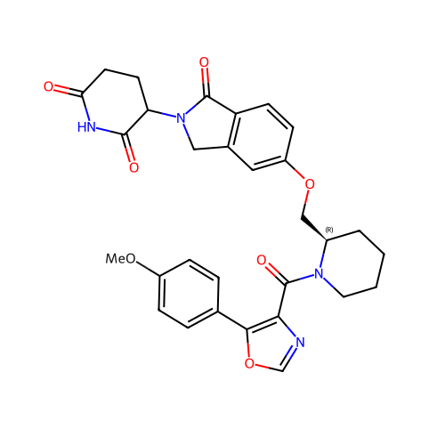 COc1ccc(-c2ocnc2C(=O)N2CCCC[C@@H]2COc2ccc3c(c2)CN(C2CCC(=O)NC2=O)C3=O)cc1